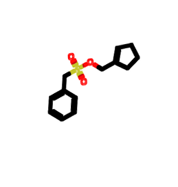 O=S(=O)(Cc1ccccc1)OCC1=CCCC1